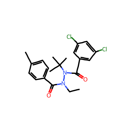 CCN(C(=O)c1ccc(C)cc1)N(C(=O)c1cc(Cl)cc(Cl)c1)C(C)(C)C